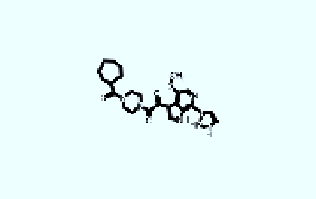 COc1cnc(N2C=CNN2)c2[nH]cc(C(=O)C(=O)N3CCN(C(=O)C4CCCCCC4)CC3)c12